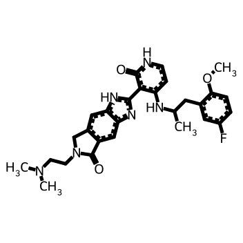 COc1ccc(F)cc1CC(C)Nc1cc[nH]c(=O)c1-c1nc2cc3c(cc2[nH]1)CN(CCN(C)C)C3=O